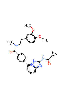 COc1ccc(CCN(C)C(=O)c2ccc(-c3cccc4nc(NC(=O)C5CC5)nn34)cc2)cc1OC